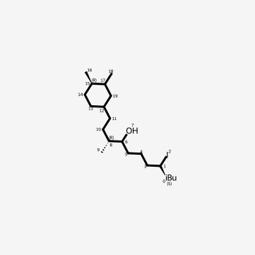 CC[C@H](C)C(I)CCCC(O)[C@H](C)CCC1CC[C@@H](C)C(C)C1